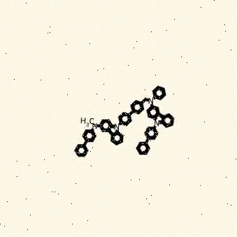 CN(c1ccc(-c2ccccc2)cc1)c1ccc2c(c1)c1ccccc1n2-c1ccc(-c2ccc(CN(c3ccccc3)c3ccc4c(c3)c3ccccc3n4-c3ccc(-c4ccccc4)cc3)cc2)cc1